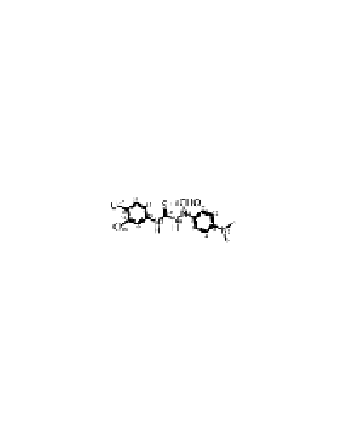 CN(C)c1ccc(N(C=O)NC(=S)Nc2ccc(Cl)c(Cl)c2)cc1